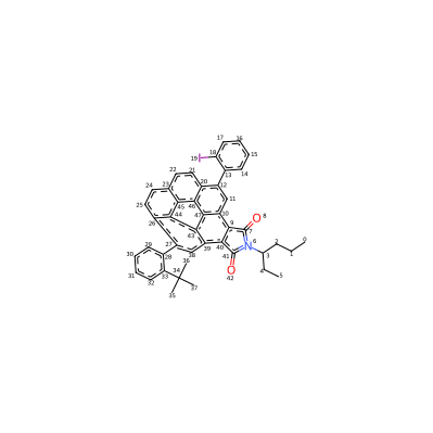 CCCC(CC)n1c(=O)c2c3cc(-c4ccccc4I)c4ccc5ccc6c(-c7ccccc7C(C)(C)C)cc(c2c1=O)c1c6c5c4c31